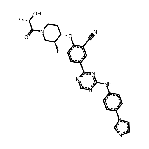 C[C@H](O)C(=O)N1CC[C@H](Oc2ccc(-c3ncnc(Nc4ccc(-n5ccnc5)cc4)n3)cc2C#N)[C@@H](F)C1